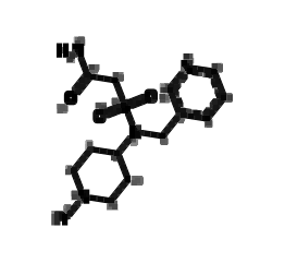 CC(C)N1CCC(N(Cc2cccnc2)S(=O)(=O)CC(N)=O)CC1